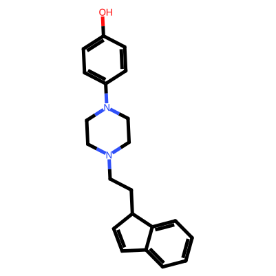 Oc1ccc(N2CCN(CCC3C=Cc4ccccc43)CC2)cc1